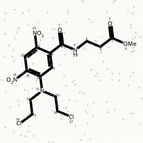 COC(=O)CCNC(=O)c1cc(N(CCCl)CCCl)c([N+](=O)[O-])cc1[N+](=O)[O-]